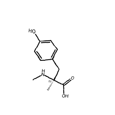 CN[C@@](C)(Cc1ccc(O)cc1)C(=O)O